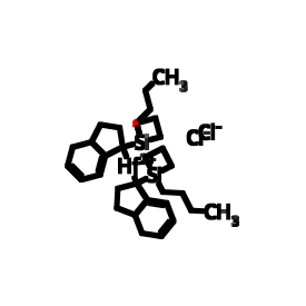 CCCC[Si]1([C]2([Hf+2][C]3([Si]4(CCCC)CCC4)CCC4CC=CC=C43)CCC3CC=CC=C32)CCC1.[Cl-].[Cl-]